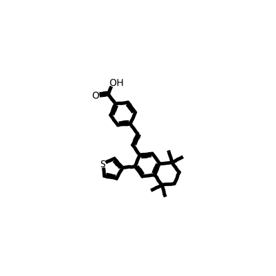 CC1(C)CCC(C)(C)c2cc(-c3ccsc3)c(C=Cc3ccc(C(=O)O)cc3)cc21